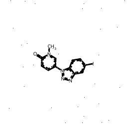 Cn1cc(-n2nnc3cc(I)ccc32)ccc1=O